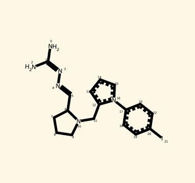 NC(N)=N/N=C/C1CCCN1Cc1cccn1-c1ccc(I)cc1